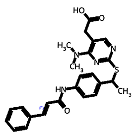 CC(Sc1ncc(CC(=O)O)c(N(C)C)n1)c1ccc(NC(=O)/C=C/c2ccccc2)cc1